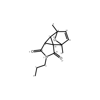 CCCN1C(=O)C2C3C4(C)C=CC(C)(O4)C23C1=O